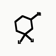 [Li][C]1([Li])CCCC(CC)C1